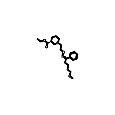 CCOC(=O)[C@@H]1CCCN(CCON=C(CCCCOC)c2ccccc2)C1